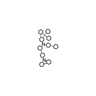 c1ccc(-c2ccc(N(c3cccc(-c4ccc(-n5c6ccccc6c6ccccc65)cc4)c3)c3ccc4c(c3)C(c3ccccc3)(c3ccccc3)c3ccccc3-4)cc2)cc1